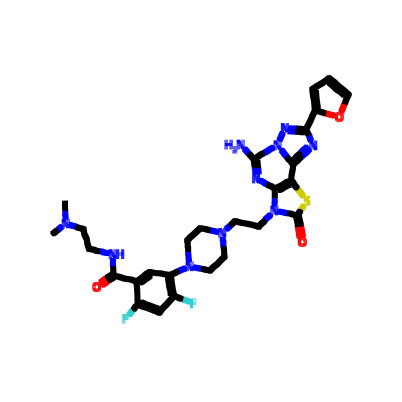 CN(C)CCNC(=O)c1cc(N2CCN(CCn3c(=O)sc4c3nc(N)n3nc(-c5ccco5)nc43)CC2)c(F)cc1F